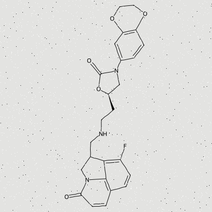 O=C1O[C@H](CCNCC2Cn3c(=O)ccc4ccc(F)c2c43)CN1c1ccc2c(c1)OCCO2